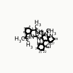 CC(C)c1cccc(C(C)C)c1NC(=O)Nc1c(-c2ccccc2Cl)c2cccnc2n(C)c1=O